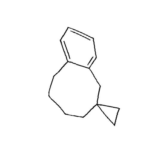 c1ccc2c(c1)CCCCC1(CC1)C2